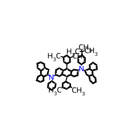 Cc1cc(C)cc(-c2c3ccc(N(c4ccc(C(C)(C)C)cc4)c4cc5ccccc5c5ccccc45)cc3c(-c3cc(C)cc(C)c3)c3ccc(N(c4ccccc4)c4cc5ccccc5c5ccccc45)cc23)c1